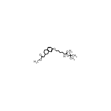 CCOC(=O)CC1CCc2ccc(OCCCCNC(=O)OC(C)(C)C)cc2C1